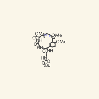 C=C1/C(OC)=C\C=C(/C)C[C@@H](C(=O)OC)NC(=O)[C@H](C)NC(=O)[C@@H](NCCNC(=O)OC(C)(C)C)c2ccc(OC)c1c2